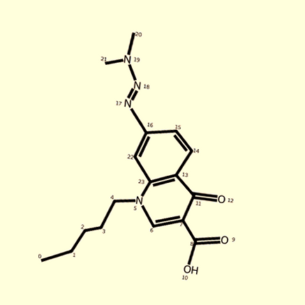 CCCCCn1cc(C(=O)O)c(=O)c2ccc(N=NN(C)C)cc21